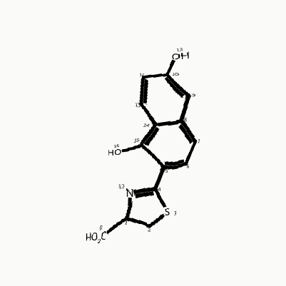 O=C(O)C1CSC(c2ccc3cc(O)ccc3c2O)=N1